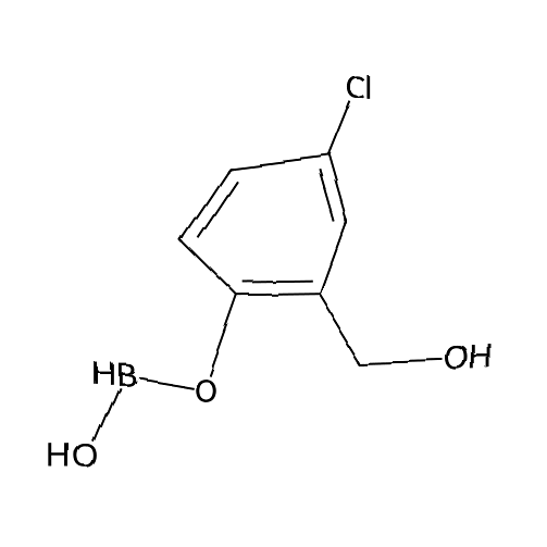 OBOc1ccc(Cl)cc1CO